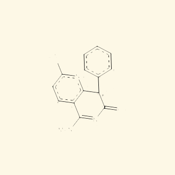 CNC1=NC(=O)[C@](C)(c2ccccc2)c2nc(C(F)(F)F)ccc21